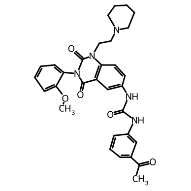 COc1ccccc1-n1c(=O)c2cc(NC(=O)Nc3cccc(C(C)=O)c3)ccc2n(CCN2CCCCC2)c1=O